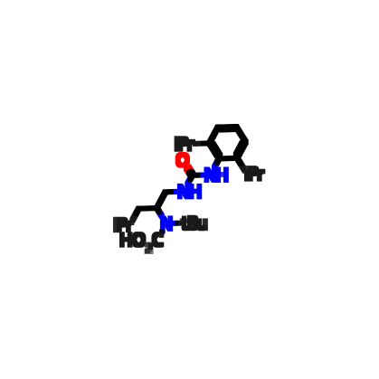 CC(C)CC(CNC(=O)Nc1c(C(C)C)cccc1C(C)C)N(C(=O)O)C(C)(C)C